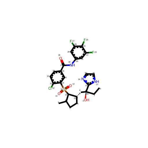 CC[C@](O)(C[C@@H]1CCC(C)C1S(=O)(=O)c1cc(C(=O)Nc2cc(F)c(F)c(F)c2)ccc1Cl)c1ncc[nH]1